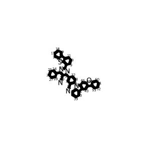 N#Cc1cc(-c2nc(-c3cccc4c3sc3ccccc34)nc(-c3ccccc3)c2C#N)ccc1-n1c2ccccc2c2cc3c(cc21)oc1ccccc13